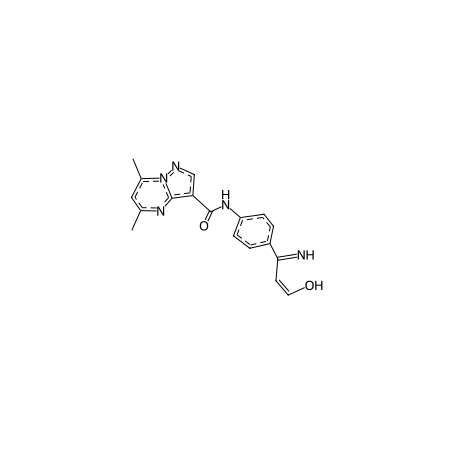 Cc1cc(C)n2ncc(C(=O)Nc3ccc(C(=N)/C=C\O)cc3)c2n1